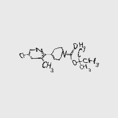 Cc1cc(Cl)cnc1C1=CCN(C(=O)OC(C)(C)C)CC1